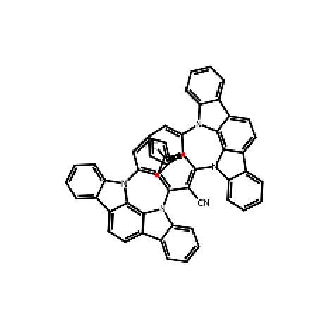 N#Cc1cc(-n2c3ccccc3c3ccc4c5ccccc5n(-c5ccccc5)c4c32)c(C#N)c(-n2c3ccccc3c3ccc4c5ccccc5n(-c5ccccc5)c4c32)c1